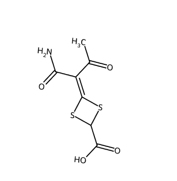 CC(=O)C(C(N)=O)=C1SC(C(=O)O)S1